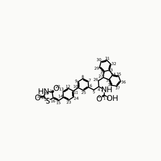 O=C(O)NC(Cc1cccc(-c2ccc(C=C3SC(=O)NC3=O)cc2)c1)CC1c2ccccc2-c2ccccc21